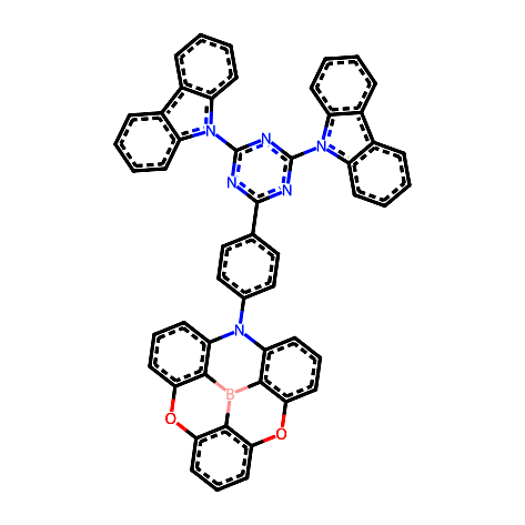 c1cc2c3c(c1)Oc1cccc4c1B3c1c(cccc1N4c1ccc(-c3nc(-n4c5ccccc5c5ccccc54)nc(-n4c5ccccc5c5ccccc54)n3)cc1)O2